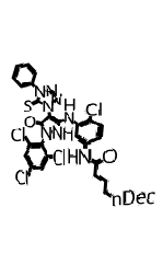 CCCCCCCCCCCCCC(=O)Nc1ccc(Cl)c(Nc2[nH]n(-c3c(Cl)cc(Cl)cc3Cl)c(=O)c2-n2nnn(-c3ccccc3)c2=S)c1